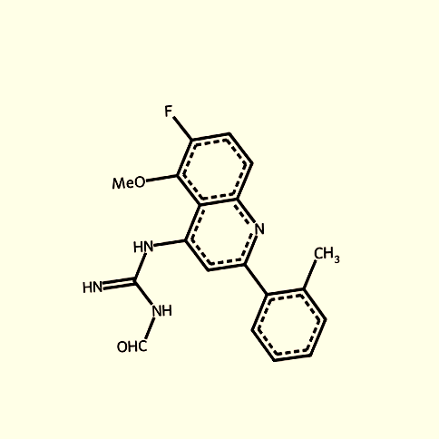 COc1c(F)ccc2nc(-c3ccccc3C)cc(NC(=N)NC=O)c12